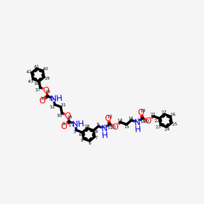 O=C(NCc1cccc(CNC(=O)OCCCNC(=O)OCc2ccccc2)c1)OCCCNC(=O)OCc1ccccc1